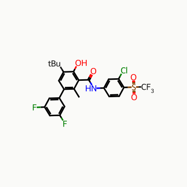 Cc1c(-c2cc(F)cc(F)c2)cc(C(C)(C)C)c(O)c1C(=O)Nc1ccc(S(=O)(=O)C(F)(F)F)c(Cl)c1